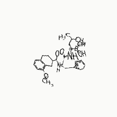 COc1cccc2c1CC(C(=O)N[C@@H](Cc1ccccc1)C(=O)N[C@@H](CC(C)C)B(O)O)CC2